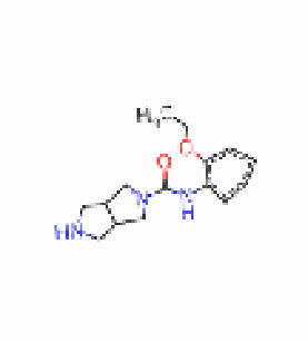 CCOc1ccccc1NC(=O)N1CC2CNCC2C1